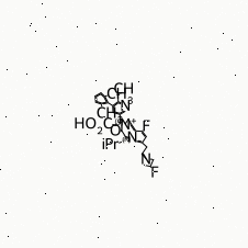 C#Cc1ncc([C@H](CC(=O)O)[N+]23CC2=C2C(F)=CC(CCN4CC(F)C4)=CN2[C@H](CC(C)C)C3=O)cc1-c1c(C)cccc1C